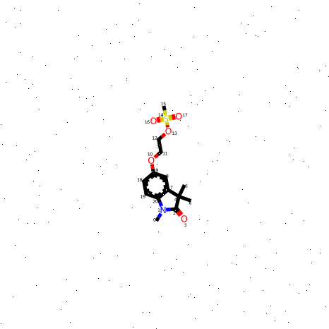 CN1C(=O)C(C)(C)c2cc(OCCOS(C)(=O)=O)ccc21